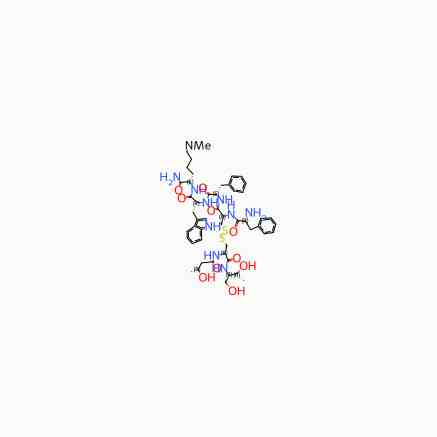 CNCCCC[C@H](NC(=O)[C@@H](Cc1c[nH]c2ccccc12)NC(=O)[C@H](Cc1ccccc1)NC(=O)[C@H](CSSC[C@H](NC(=O)C[C@@H](C)O)C(=O)N[C@H](CO)[C@@H](C)O)NC(=O)[C@H](N)Cc1ccccc1)C(N)=O